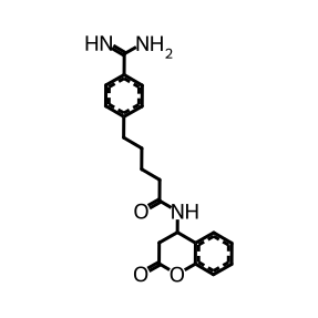 N=C(N)c1ccc(CCCCC(=O)NC2CC(=O)Oc3ccccc32)cc1